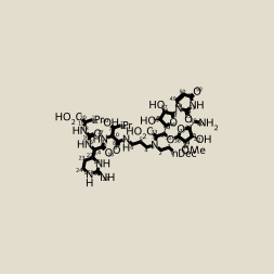 CCCCCCCCCCCCN(CCCNC(=O)C(NC(=O)C(NC(=O)NC(C(=O)O)C(C)C)C1CCNC(=N)N1)C(O)C(C)C)C(C(=O)O)C(OC1O[C@H](CN)[C@H](O)[C@@H]1OC)[C@H]1O[C@@H](n2ccc(=O)[nH]c2=O)[C@H](O)[C@H]1O